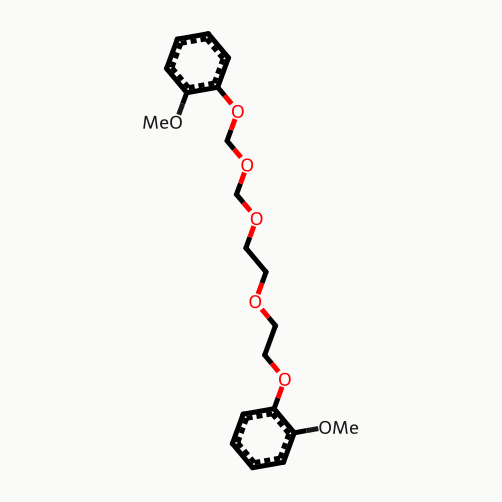 COc1ccccc1OCCOCCOCOCOc1ccccc1OC